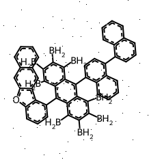 Bc1c(B)c(B)c2c(-c3cccc4oc5cc6ccccc6cc5c34)c3c(B)c(B)c(B)c(B)c3c(-c3ccc(-c4cccc5ccccc45)c4ccccc34)c2c1B